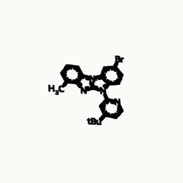 Cc1cccc2c1nc1n(-c3cc(C(C)(C)C)ccn3)c3ccc(Br)cc3n21